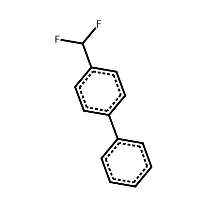 FC(F)c1ccc(-c2ccccc2)cc1